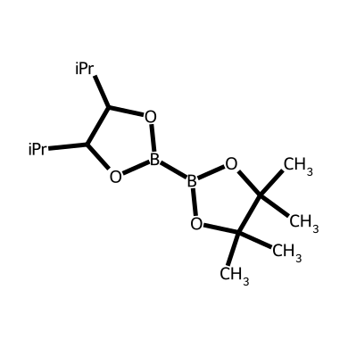 CC(C)C1OB(B2OC(C)(C)C(C)(C)O2)OC1C(C)C